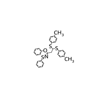 Cc1ccc(SC(C/C(=N/Sc2ccccc2)Oc2ccccc2)Sc2ccc(C)cc2)cc1